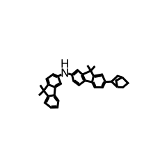 CC1(C)c2ccccc2-c2cc(Nc3ccc4c(c3)C(C)(C)c3cc(C5CC6CCC5C6)ccc3-4)ccc21